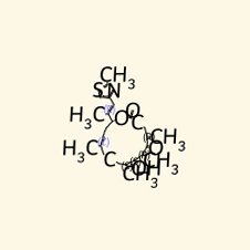 C/C1=C/CC(/C(C)=C/c2csc(C)n2)OC(=O)CC[C@@H](C)C(=O)[C@H](C)[C@@H](O)[C@@H](C)CCC1